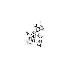 N#Cc1nc(-c2cc(Cl)c3[nH]ncc3c2)c(-c2ccccc2)nc1NC(O)OCc1cncnc1